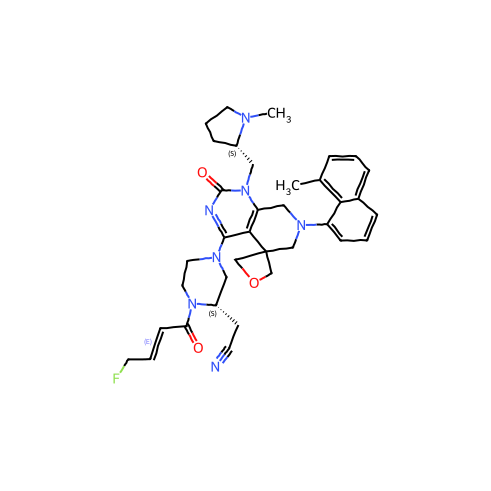 Cc1cccc2cccc(N3Cc4c(c(N5CCN(C(=O)/C=C/CF)[C@@H](CC#N)C5)nc(=O)n4C[C@@H]4CCCN4C)C4(COC4)C3)c12